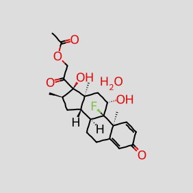 CC(=O)OCC(=O)[C@@]1(O)[C@H](C)C[C@H]2[C@@H]3CCC4=CC(=O)C=C[C@]4(C)[C@@]3(F)[C@@H](O)C[C@@]21C.O